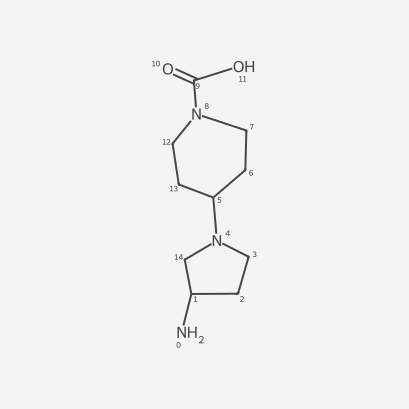 NC1CCN(C2CCN(C(=O)O)CC2)C1